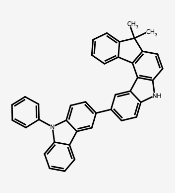 CC1(C)c2ccccc2-c2c1ccc1[nH]c3ccc(-c4ccc5c(c4)c4ccccc4n5-c4ccccc4)cc3c21